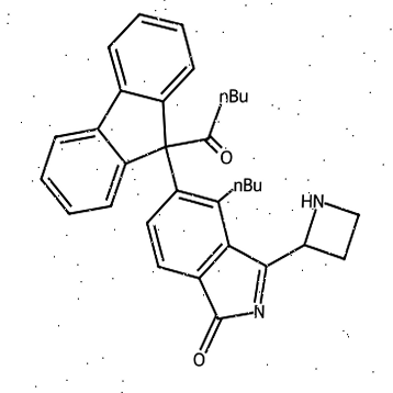 CCCCC(=O)C1(c2ccc3c(c2CCCC)C(C2CCN2)=NC3=O)c2ccccc2-c2ccccc21